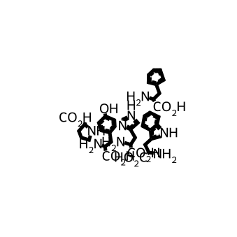 NC(Cc1c[nH]c2ccccc12)C(=O)O.NC(Cc1c[nH]cn1)C(=O)O.NC(Cc1ccc(O)cc1)C(=O)O.NC(Cc1ccccc1)C(=O)O.O=C(O)C1CCCN1